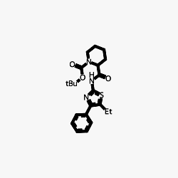 CCc1sc(NC(=O)C2CCCCN2C(=O)OC(C)(C)C)nc1-c1ccccc1